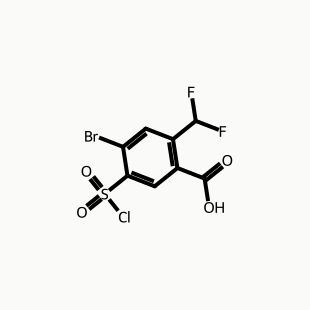 O=C(O)c1cc(S(=O)(=O)Cl)c(Br)cc1C(F)F